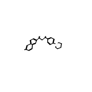 O=C(CC(=O)c1ccc2cc(Br)ccc2c1)c1ccc(N2CCCCC2)cc1